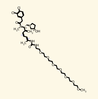 C=C(/C=C\C=C(/C)NC(=O)NCCOCCOCCOCCOCCOCCOCCOC)[C@@H](CN1CC[C@@H](O)C1)N(C)C(=O)Cc1ccc(Cl)c(Cl)c1